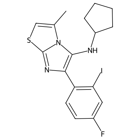 Cc1csc2nc(-c3ccc(F)cc3I)c(NC3CCCC3)n12